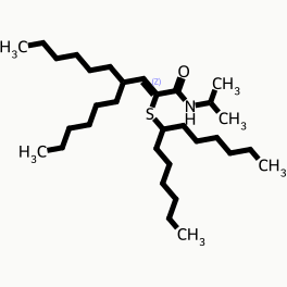 CCCCCCC(/C=C(\SC(CCCCCC)CCCCCC)C(=O)NC(C)C)CCCCCC